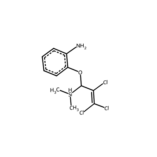 C[SiH](C)C(Oc1ccccc1N)C(Cl)=C(Cl)Cl